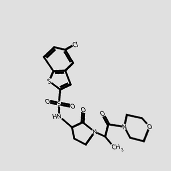 CC(C(=O)N1CCOCC1)N1CCC(NS(=O)(=O)c2cc3cc(Cl)ccc3s2)C1=O